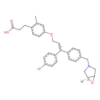 Cc1cc(OC/C=C(\c2ccc(Cl)cc2)c2ccc(CN3CC4O[C@H]4C3)cc2)ccc1CCC(=O)O